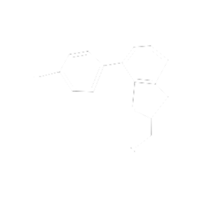 NCC1Cc2cccc(-c3ccc(Cl)cc3)c2O1